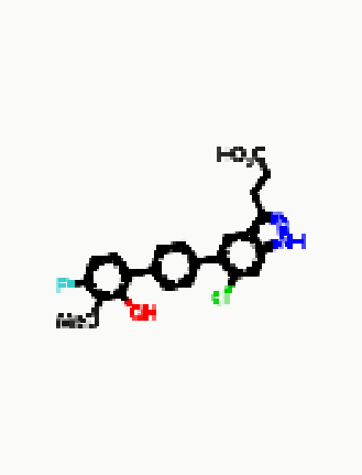 COc1c(F)ccc(-c2ccc(-c3cc4c(CCC(=O)O)n[nH]c4cc3Cl)cc2)c1O